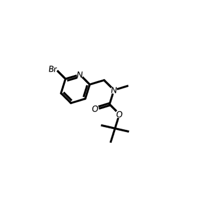 CN(Cc1cccc(Br)n1)C(=O)OC(C)(C)C